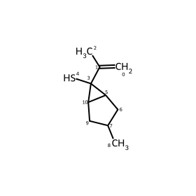 C=C(C)C1(S)C2CC(C)CC21